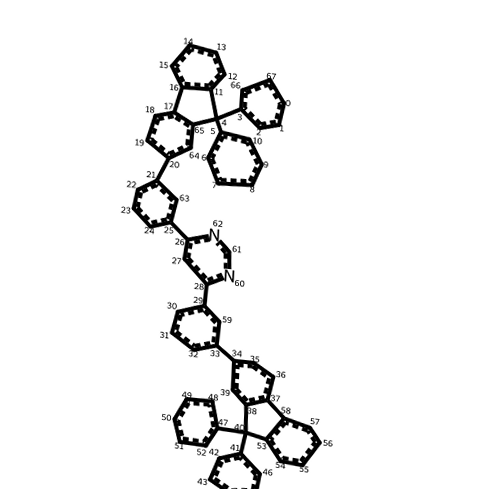 c1ccc(C2(c3ccccc3)c3ccccc3-c3ccc(-c4cccc(-c5cc(-c6cccc(-c7ccc8c(c7)C(c7ccccc7)(c7ccccc7)c7ccccc7-8)c6)ncn5)c4)cc32)cc1